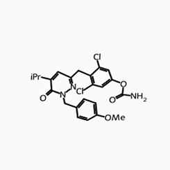 COc1ccc(Cn2nc(Cc3c(Cl)cc(OC(N)=O)cc3Cl)cc(C(C)C)c2=O)cc1